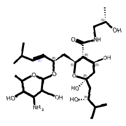 CC(C)/C=C/[C@@H](C[C@@H]1O[C@](O)(C[C@@H](O)C(C)C)C[C@H](O)[C@H]1C(=O)NC[C@H](C)O)OC1OC(C)C(O)C(N)C1O